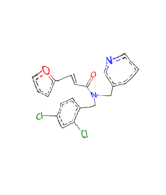 O=C(/C=C/c1ccco1)N(Cc1cccnc1)Cc1ccc(Cl)cc1Cl